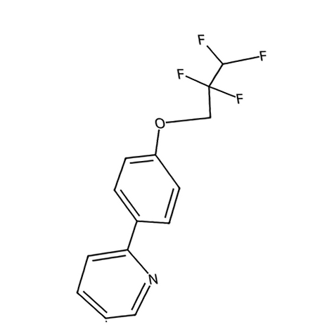 FC(F)C(F)(F)COc1ccc(-c2cc[c]cn2)cc1